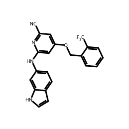 N#Cc1cc(OCc2ccccc2C(F)(F)F)cc(Nc2ccc3cc[nH]c3c2)n1